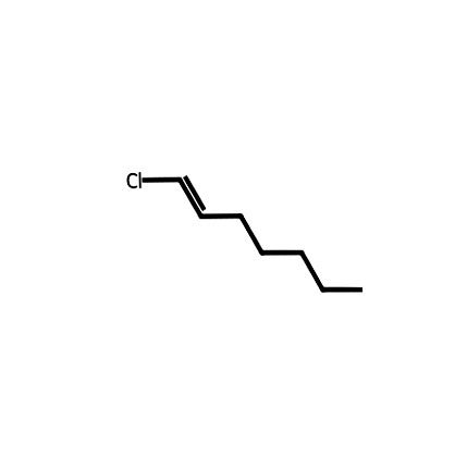 CCCCCC=CCl